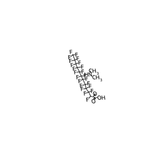 CNC.O=S(=O)(O)C(F)C(F)(F)C(F)(F)C(F)(F)C(F)(F)C(F)(F)C(F)(F)C(F)(F)C(F)(F)C(F)(F)C(F)(F)F